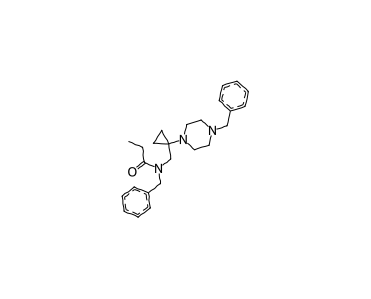 CCC(=O)N(Cc1ccccc1)CC1(N2CCN(Cc3ccccc3)CC2)CC1